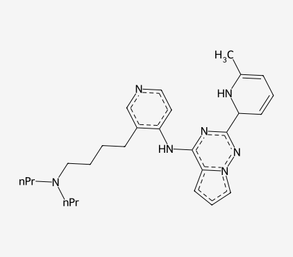 CCCN(CCC)CCCCc1cnccc1Nc1nc(C2C=CC=C(C)N2)nn2cccc12